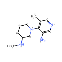 Cc1cncc(N)c1N1CCC[C@H](NC(=O)O)C1